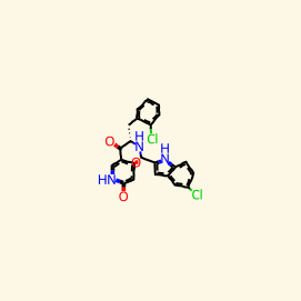 O=C(N[C@@H](Cc1ccccc1Cl)C(=O)c1ccc(=O)[nH]c1)c1cc2cc(Cl)ccc2[nH]1